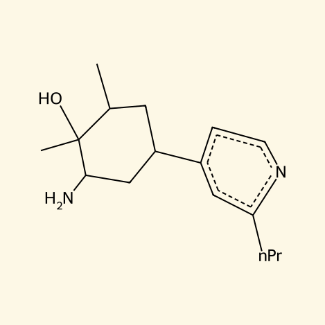 [CH2]CCc1cc(C2CC(C)C(C)(O)C(N)C2)ccn1